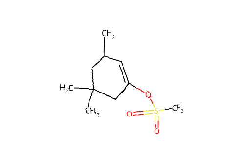 CC1C=C(OS(=O)(=O)C(F)(F)F)CC(C)(C)C1